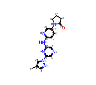 Cc1cnn(-c2cncc(Nc3ccc(N4CCCC4=O)cn3)n2)c1